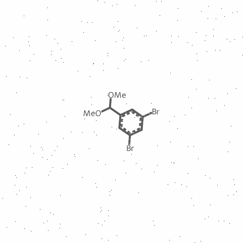 COC(OC)c1cc(Br)cc(Br)c1